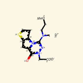 COCCN(C)c1nn(CC(=O)[O-])c(=O)c2cc3sccc3n12.[Li+]